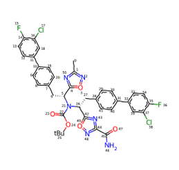 Cc1noc([C@@H](Cc2ccc(-c3ccc(F)c(Cl)c3)cc2)N(C(=O)OC(C)(C)C)[C@H](Cc2ccc(-c3ccc(F)c(Cl)c3)cc2)c2nc(C(N)=O)no2)n1